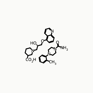 Cc1ccccc1N1CCN(C(N)=O)CC1.O=C(O)C1CCCN(C[C@@H](O)COc2cccc3ncccc23)C1